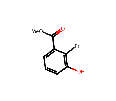 CCc1c(O)cccc1C(=O)OC